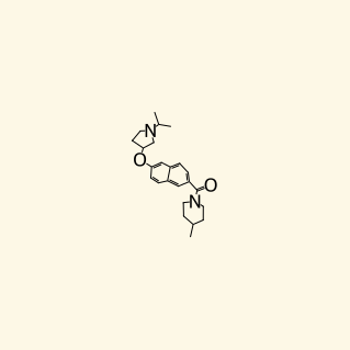 CC1CCN(C(=O)c2ccc3cc(OC4CCN(C(C)C)C4)ccc3c2)CC1